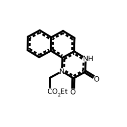 CCOC(=O)Cn1c(=O)c(=O)[nH]c2ccc3ccccc3c21